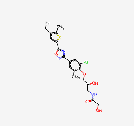 COc1cc(-c2noc(-c3cc(CC(C)C)c(C)s3)n2)cc(Cl)c1OCC(O)CNC(=O)CO